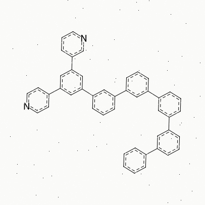 c1ccc(-c2cccc(-c3cccc(-c4cccc(-c5cccc(-c6cc(-c7ccncc7)cc(-c7cccnc7)c6)c5)c4)c3)c2)cc1